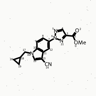 COC(=O)c1cnn(-c2ccc3c(c2)c(C#N)cn3CC2CC2)n1